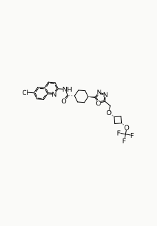 O=C(Nc1ccc2cc(Cl)ccc2n1)[C@H]1CC[C@H](c2nnc(CO[C@H]3C[C@@H](OC(F)(F)F)C3)o2)CC1